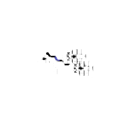 C/C(=C\c1csc(C)n1)[C@H](CCO[Si](C)(C)C(C)(C)C)O[Si](C)(C)C(C)(C)C